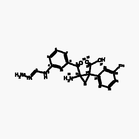 NN=CNc1cccc(C(=O)C2(N)CC2(C(=O)O)c2cccc(F)c2)c1